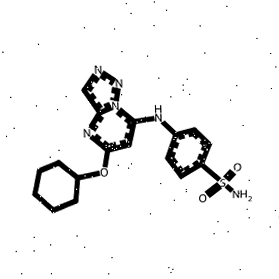 NS(=O)(=O)c1ccc(Nc2cc(OC3CCCCC3)nc3cnnn23)cc1